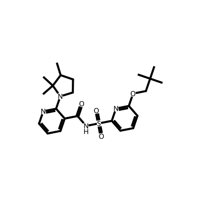 CC1CCN(c2ncccc2C(=O)NS(=O)(=O)c2cccc(OCC(C)(C)C)n2)C1(C)C